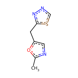 Cc1ncc(Cc2nncs2)o1